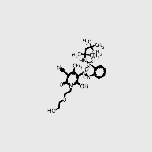 Cc1c(/N=N/c2ccccc2S(=O)(=O)NC(C)(C)CC(C)(C)C)c(O)n(CCOCCO)c(=O)c1C#N